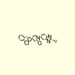 Cn1c(C2CC2)nc2ccc(-n3ccc(OCc4ccccc4Cl)cc3=O)cc21